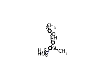 CCCCOc1cc(/C=C(\C)C(=O)O)ccc1-c1cccc(CNCC(=O)c2ccc(OC)cc2)c1